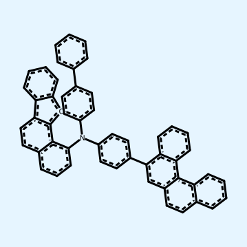 c1ccc(-c2ccc(N(c3ccc(-c4cc5ccc6ccccc6c5c5ccccc45)cc3)c3cccc4ccc5c6ccccc6oc5c34)cc2)cc1